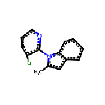 Cc1cc2ccccc2n1-c1ncccc1Cl